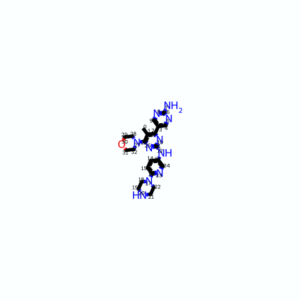 Cc1c(-c2cnc(N)nc2)nc(Nc2ccc(N3CCNCC3)nc2)nc1N1CCOCC1